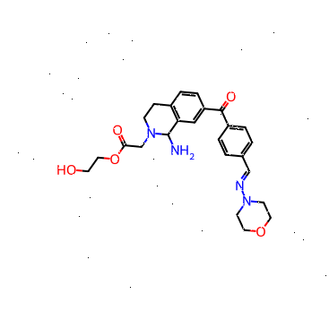 NC1c2cc(C(=O)c3ccc(C=NN4CCOCC4)cc3)ccc2CCN1CC(=O)OCCO